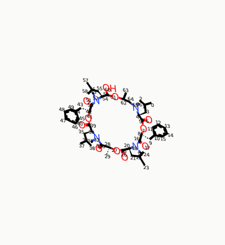 CC(C)C[C@H]1C(=O)O[C@H](Cc2ccccc2)C(=O)N(C)[C@@H](CC(C)C)C(=O)O[C@H](C)C(=O)N(C)[C@@H](CC(C)C)C(=O)O[C@H](Cc2ccccc2)C(=O)N(C)[C@@H](CC(C)C)C(O)OC(C)CN1C